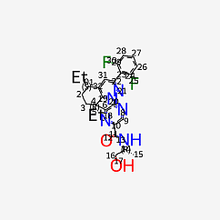 CC[C@H]1CC[C@](CC)(c2cncc(C(=O)N[C@H](C)CO)n2)c2nnc(-c3c(F)cccc3F)cc21